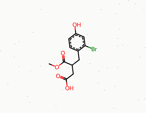 COC(=O)C(CC(=O)O)Cc1ccc(O)cc1Br